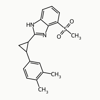 Cc1ccc(C2CC2c2nc3c(S(C)(=O)=O)cccc3[nH]2)cc1C